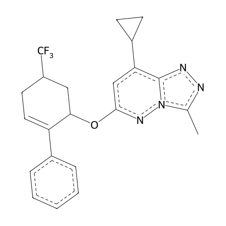 Cc1nnc2c(C3CC3)cc(OC3CC(C(F)(F)F)CC=C3c3ccccc3)nn12